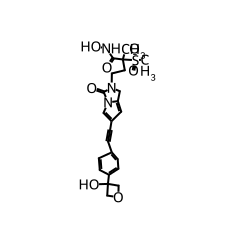 CC(CCN1Cc2cc(C#Cc3ccc(C4(O)COC4)cc3)cn2C1=O)(C(=O)NO)S(C)(=O)=O